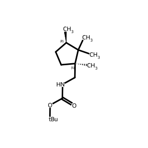 C[C@@H]1CC[C@](C)(CNC(=O)OC(C)(C)C)C1(C)C